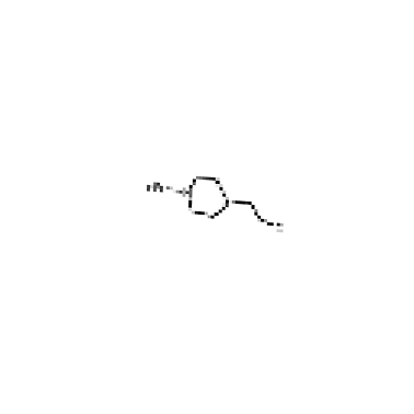 CCCN1CCC(CCCl)CC1